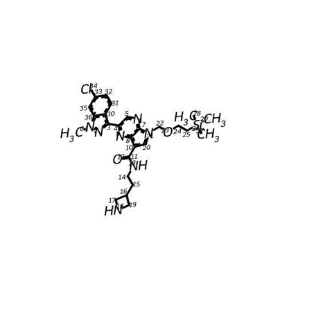 Cn1nc(-c2cnc3c(n2)c(C(=O)NCCC2CNC2)cn3COCC[Si](C)(C)C)c2ccc(Cl)cc21